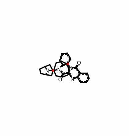 O=c1c2nc3ccccc3c(=O)n2c2ccccc2n1C1CC2CCC(C1)N2C1CCCCCCC1